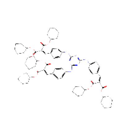 O=C(OC1CCCCC1)C(=Cc1ccc(Nc2nc(Nc3ccc(C=C(C(=O)OC4CCCCC4)C(=O)OC4CCCCC4)cc3)nc(Nc3ccc(C=C(C(=O)OC4CCCCC4)C(=O)OC4CCCCC4)cc3)n2)cc1)C(=O)OC1CCCCC1